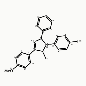 COc1ccc(C2=NC(c3ccccc3)N(c3ccc(I)cc3)C2C)cc1